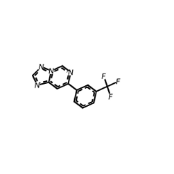 FC(F)(F)c1cccc(-c2cc3ncnn3cn2)c1